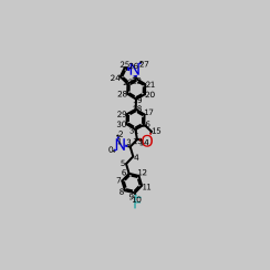 CN(C)C(CCc1ccc(F)cc1)C1OCc2cc(-c3ccc4c(ccn4C)c3)ccc21